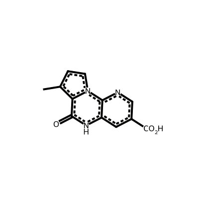 Cc1ccn2c1c(=O)[nH]c1cc(C(=O)O)cnc12